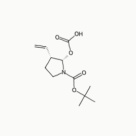 C=C[C@H]1CCN(C(=O)OC(C)(C)C)[C@H]1OC(=O)O